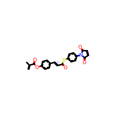 C=C(C)C(=O)Oc1ccc(/C=C/C(=O)Sc2ccc(N3C(=O)C=CC3=O)cc2)cc1